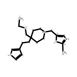 CCOCC1(CCc2ccsc2)CCN(Cc2cnc(C)s2)CC1